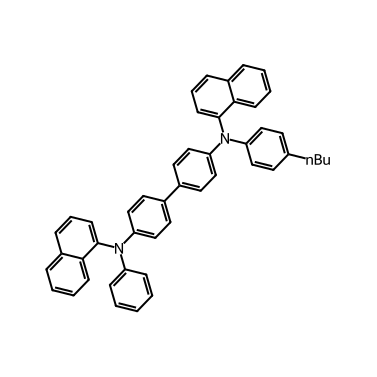 CCCCc1ccc(N(c2ccc(-c3ccc(N(c4ccccc4)c4cccc5ccccc45)cc3)cc2)c2cccc3ccccc23)cc1